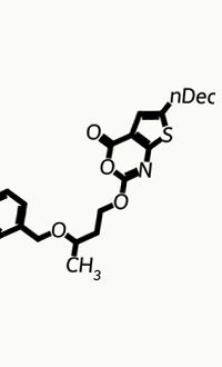 CCCCCCCCCCc1cc2c(=O)oc(OCCC(C)OCc3ccccc3)nc2s1